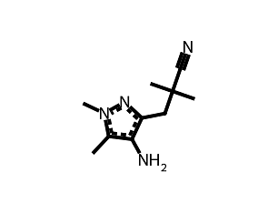 Cc1c(N)c(CC(C)(C)C#N)nn1C